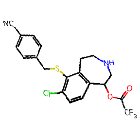 N#Cc1ccc(CSc2c(Cl)ccc3c2CCNCC3OC(=O)C(F)(F)F)cc1